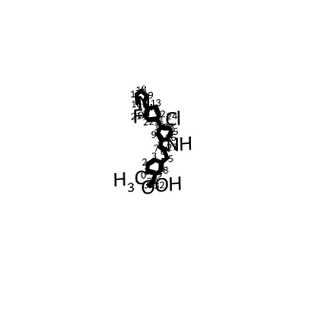 Cc1ccc(Cc2cc3cc(-c4ccc(N5CCCC5)c(F)c4)c(Cl)cc3[nH]2)cc1C(=O)O